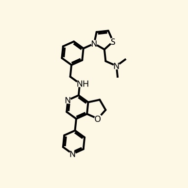 CN(C)CC1SC=CN1c1cccc(CNc2ncc(-c3ccncc3)c3c2CCO3)c1